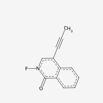 CC#Cc1cn(F)c(=O)c2ccccc12